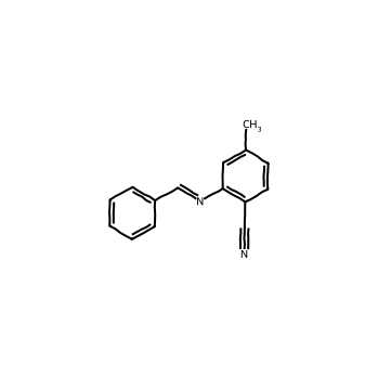 Cc1ccc(C#N)c(N=Cc2ccccc2)c1